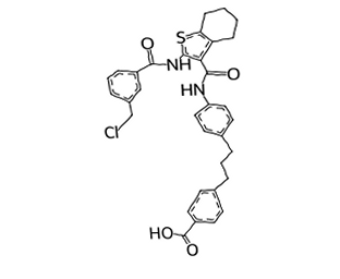 O=C(O)c1ccc(CCCc2ccc(NC(=O)c3c(NC(=O)c4cccc(CCl)c4)sc4c3CCCC4)cc2)cc1